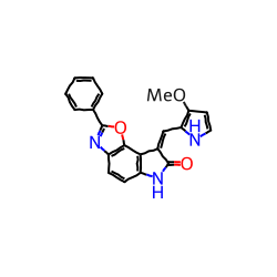 COc1cc[nH]c1/C=C1\C(=O)Nc2ccc3nc(-c4ccccc4)oc3c21